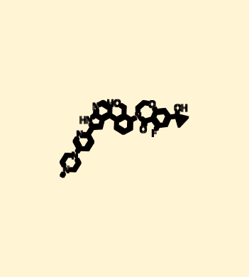 CN1CCN(c2ccc(-c3cc4c(-c5cccc(N6CCOc7cc(C8(O)CC8)cc(F)c7C6=O)c5CO)ccnc4[nH]3)nc2)CC1